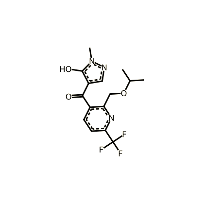 CC(C)OCc1nc(C(F)(F)F)ccc1C(=O)c1cnn(C)c1O